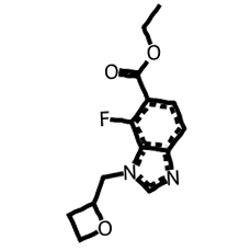 CCOC(=O)c1ccc2ncn(CC3CCO3)c2c1F